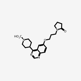 O=C(O)N1CCC(c2ncnc3ccc(OCCCN4CCCC4=O)cc23)CC1